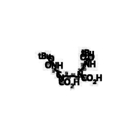 CC(C)(C)OC(=O)NCCCN(CCCCN(CCCNC(=O)OC(C)(C)C)C(=O)O)C(=O)O